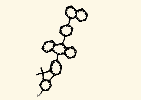 CC1(C)c2cc(C#N)ccc2-c2ccc(-c3c4ccccc4c(-c4ccc(-c5cccc6ccccc56)cc4)c4ccccc34)cc21